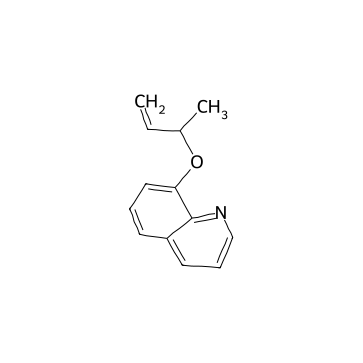 C=CC(C)Oc1cccc2cccnc12